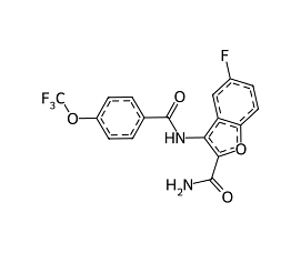 NC(=O)c1oc2ccc(F)cc2c1NC(=O)c1ccc(OC(F)(F)F)cc1